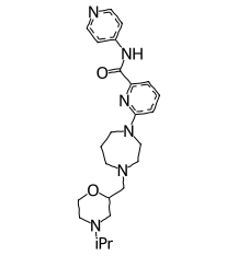 CC(C)N1CCOC(CN2CCCN(c3cccc(C(=O)Nc4ccncc4)n3)CC2)C1